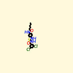 CCCCCC(=O)Nc1ccc(NC(=S)NC(=O)c2cc(Cl)cc(Cl)c2)cc1